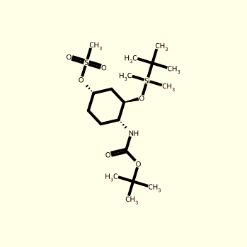 CC(C)(C)OC(=O)N[C@@H]1CC[C@H](OS(C)(=O)=O)C[C@H]1O[Si](C)(C)C(C)(C)C